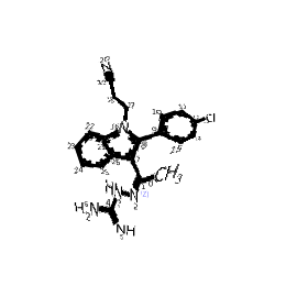 C/C(=N/NC(=N)N)c1c(-c2ccc(Cl)cc2)n(CCC#N)c2ccccc12